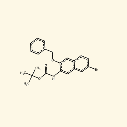 CC(C)(C)OC(=O)Nc1cc2cc(Br)ccc2cc1OCc1ccccc1